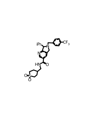 CC(C)C1c2ncc(C(=O)NCC3CCS(=O)(=O)CC3)cc2CN1Cc1ccc(C(F)(F)F)cc1